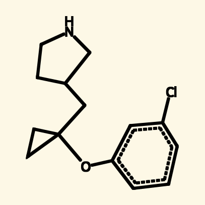 Clc1cccc(OC2(CC3CCNC3)CC2)c1